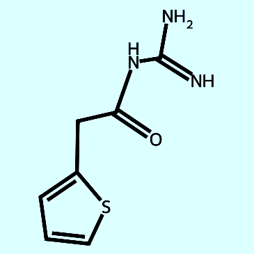 N=C(N)NC(=O)Cc1cccs1